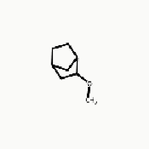 COC1CC2CCC1C2